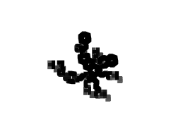 CCCCc1c(CCCC)c(-c2cc3c(cc2C(=O)N2Cc4ccccc4C[C@H]2C)CN(C(=O)Cc2ccccc2)CC3)n(CCN2CCOCC2)c1C.NC=O